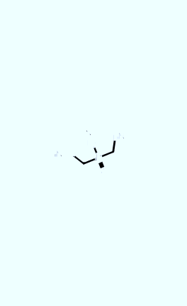 CCCCCCCCCCP(=O)(O)CCCCCCCCCC.[Ni]